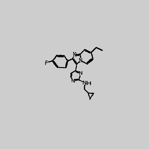 CCc1ccn2c(-c3ccnc(NCC4CC4)n3)c(-c3ccc(F)cc3)nc2c1